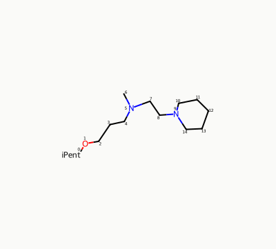 CCCC(C)OCCCN(C)CCN1CCCCC1